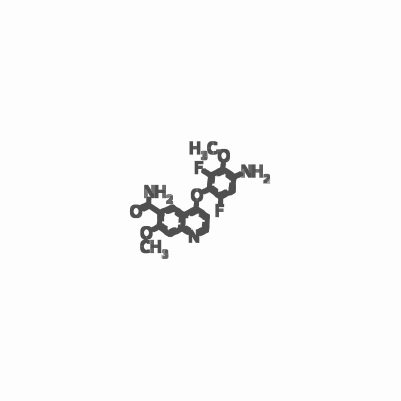 COc1cc2nccc(Oc3c(F)cc(N)c(OC)c3F)c2cc1C(N)=O